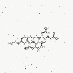 CCOc1ccc(C[C@@H](CN(CCN(CC(=O)O)CC(=O)O)CC(=O)O)N(CCO)CC(=O)O)cc1